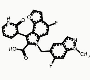 Cn1ncc2cc(Cn3c(C(=O)O)c(-c4ccc[nH]c4=O)c4c5occc5c(F)cc43)c(F)cc21